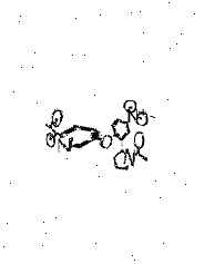 CC(=O)N1CCC[C@@H]1c1cc([N+](=O)[O-])ccc1Oc1ccc(S(C)(=O)=O)nc1